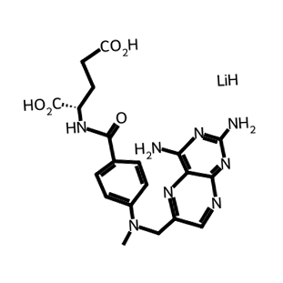 CN(Cc1cnc2nc(N)nc(N)c2n1)c1ccc(C(=O)N[C@@H](CCC(=O)O)C(=O)O)cc1.[LiH]